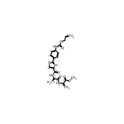 C=CCOC(=O)Nc1ccc(-c2nc(C(=O)NC(=C)C(=O)NC(=C)C(=O)OC)cs2)cc1